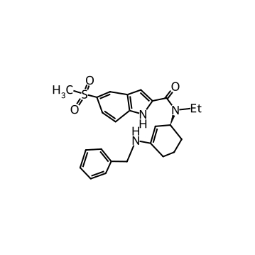 CCN(C(=O)c1cc2cc(S(C)(=O)=O)ccc2[nH]1)[C@@H]1C=C(NCc2ccccc2)CCC1